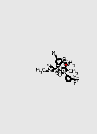 CCn1cc(S(=O)(=O)N2C(=O)N(c3cccc(C(F)(F)F)c3)C(C)=C(C#N)[C@H]2c2ccc(C#N)cc2S(C)(=O)=O)cn1